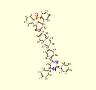 O=P(c1ccccc1)(c1ccccc1)c1ccc(-c2ccc3cc(-c4ccc(-c5cc(-c6ccccc6)nc(-c6ccccc6)n5)cc4)ccc3c2)cc1